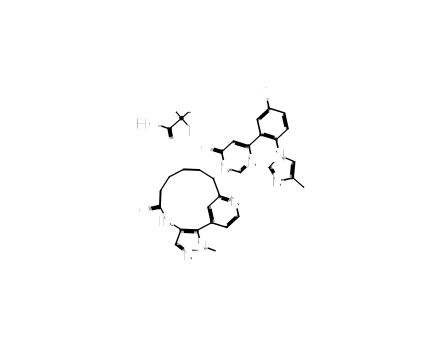 Cc1cn(-c2ccc(Cl)cc2-c2cc(=O)n([C@H]3CCC[C@@H](C)C(=O)Nc4cnn(C)c4-c4ccnc3c4)cn2)cn1.O=C(O)C(F)(F)F